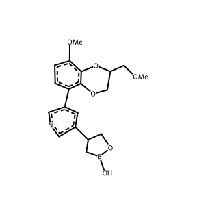 COCC1COc2c(-c3cncc(C4COB(O)C4)c3)ccc(OC)c2O1